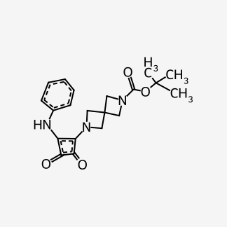 CC(C)(C)OC(=O)N1CC2(C1)CN(c1c(Nc3ccccc3)c(=O)c1=O)C2